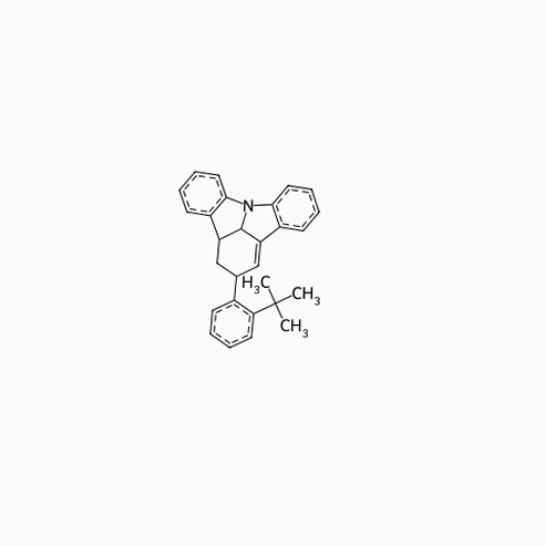 CC(C)(C)c1ccccc1C1C=C2c3ccccc3N3c4ccccc4C(C1)C23